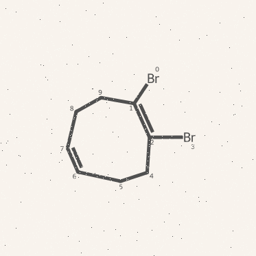 BrC1=C(Br)CCC=CCC1